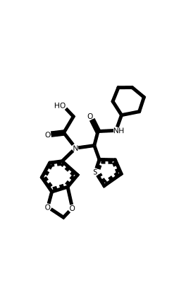 O=C(NC1CCCCC1)C(c1cccs1)N(C(=O)CO)c1ccc2c(c1)OCO2